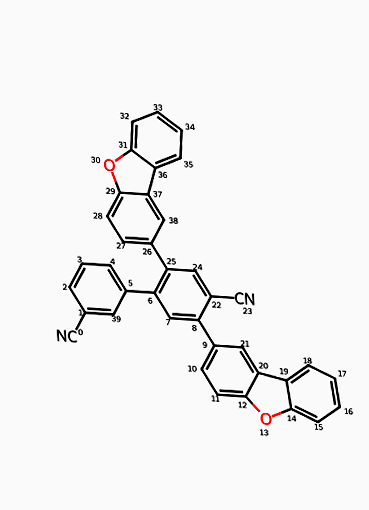 N#Cc1cccc(-c2cc(-c3ccc4oc5ccccc5c4c3)c(C#N)cc2-c2ccc3oc4ccccc4c3c2)c1